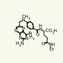 CCNC(=O)CC[C@H](NC(=O)c1ccc(N(C)Cc2cnc3nc(N)nc(N)c3n2)cc1)C(=O)O